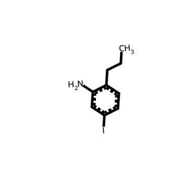 CCCc1ccc(I)cc1N